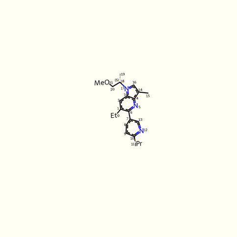 CCc1cc2c(nc1-c1ccc(C(C)C)nc1)c(C)cn2[C@@H](C)COC